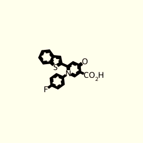 O=C(O)c1cn(-c2ccc(F)cc2)c(-c2cc3ccccc3s2)cc1=O